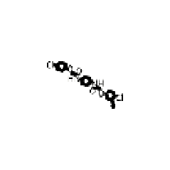 C#Cc1cc(OCC(=O)N[C@H]2CC[C@H](NC(=O)COc3ccc(Cl)cc3)CC2)ccc1Cl